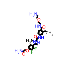 CCc1cc(NC(=O)c2ncc(-c3ccc(OCC(N)=O)c(F)c3F)n2C)ccc1C(=O)NCCOCCN